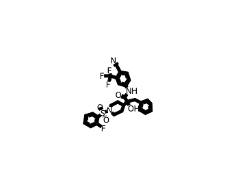 N#Cc1ccc(NC(=O)C(O)(Cc2ccccc2)C2CCN(S(=O)(=O)c3ccccc3F)CC2)cc1C(F)(F)F